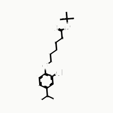 CC(C)c1ccc(OCCCCCC(=O)OC(C)(C)C)c(Cl)c1